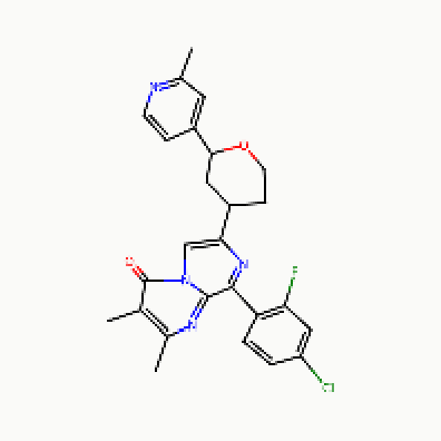 Cc1cc(C2CC(c3cn4c(=O)c(C)c(C)nc4c(-c4ccc(Cl)cc4F)n3)CCO2)ccn1